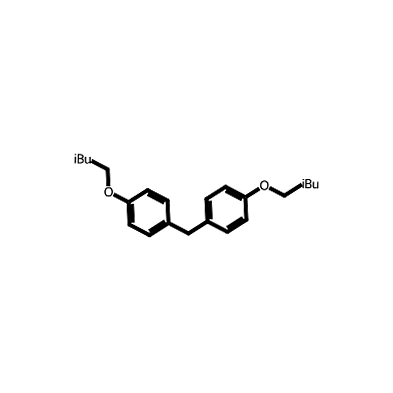 CCC(C)COc1ccc(Cc2ccc(OCC(C)CC)cc2)cc1